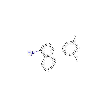 Cc1cc(C)cc(-c2ccc(N)c3ccccc23)c1